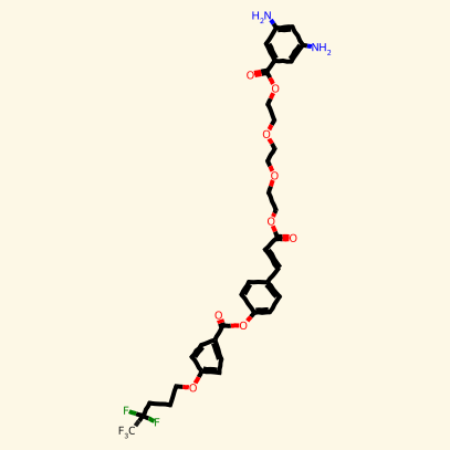 Nc1cc(N)cc(C(=O)OCCOCCOCCOC(=O)C=Cc2ccc(OC(=O)c3ccc(OCCCC(F)(F)C(F)(F)F)cc3)cc2)c1